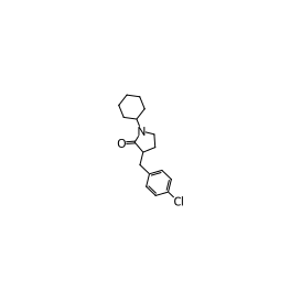 O=C1C(Cc2ccc(Cl)cc2)CCN1C1CCCCC1